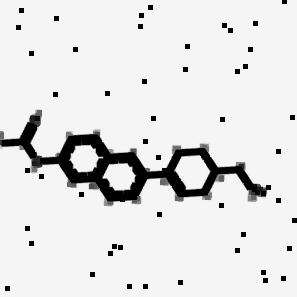 CCCC(=O)Oc1ccc2cc(C3=CCC(CC(C)CC)CC3)ccc2c1